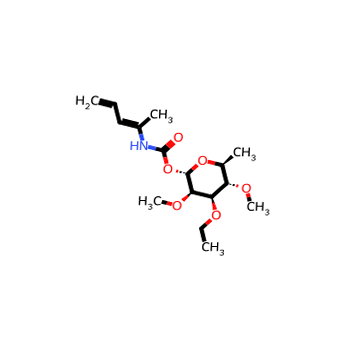 C=C/C=C(\C)NC(=O)O[C@@H]1O[C@@H](C)[C@H](OC)[C@@H](OCC)[C@H]1OC